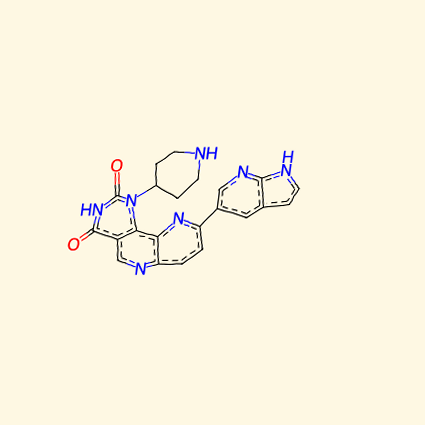 O=c1[nH]c(=O)n(C2CCNCC2)c2c1cnc1ccc(-c3cnc4[nH]ccc4c3)nc12